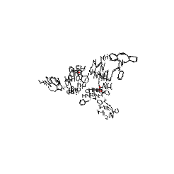 NC(=O)NCCC[C@H](NC(=O)[C@H](Cc1ccccc1)NC(=O)CNC(=O)CNC(=O)CCC(=O)N1Cc2ccccc2C#Cc2ccccc21)C(=O)NCCNc1nc(N)c2ncn([C@@H]3O[C@@H]4COP(=O)(S)O[C@H]5[C@@H](O)[C@H](n6cc7c8c(ncnc86)NCCC7)O[C@@H]5COP(=O)(S)O[C@@H]3[C@@H]4O)c2n1